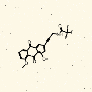 COc1cccc2c1C(=O)c1c(OC)cc(C#CCNC(=O)C(F)(F)F)cc1C2=O